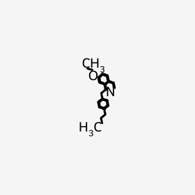 CCCCc1ccc(Cc2nccc3ccc(OCCC)cc23)cc1